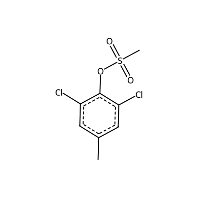 Cc1cc(Cl)c(OS(C)(=O)=O)c(Cl)c1